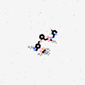 CC(NCc1nccc(I)c1F)OC(=O)Cc1ccccc1OCc1cc(B2OC(C)(C)C(C)(C)O2)c2cnn(C)c2c1